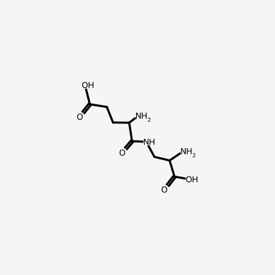 NC(CNC(=O)C(N)CCC(=O)O)C(=O)O